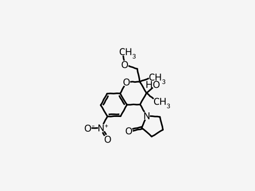 COCC1(C)Oc2ccc([N+](=O)[O-])cc2C(N2CCCC2=O)C1(C)O